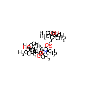 CC(CN1C(C)(C)CC(OC(=O)CCc2cc(C(C)(C)C)c(O)c(C(C)(C)C)c2)CC1(C)C)OC(=O)CCc1cc(C(C)(C)C)c(O)c(C(C)(C)C)c1